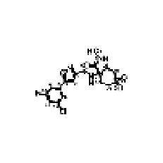 O=C(NO)C1(NCc2cc(-c3cc(F)cc(Cl)c3)on2)CCS(=O)(=O)CC1